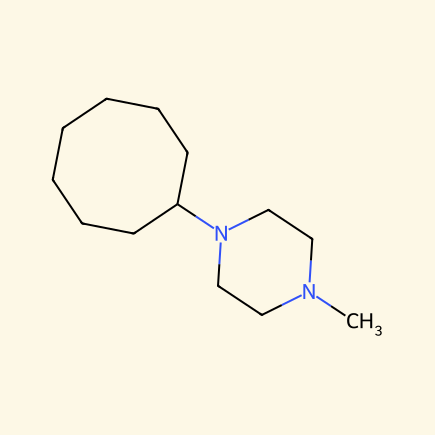 CN1CCN(C2CCCCCCC2)CC1